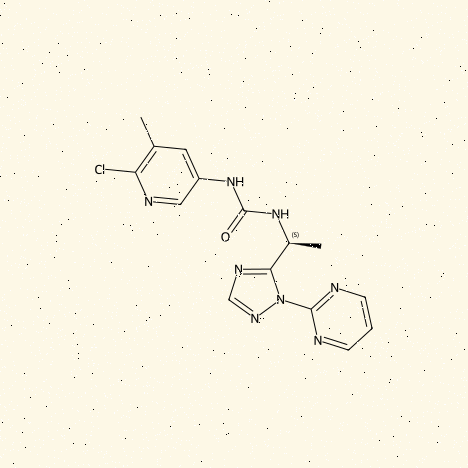 Cc1cc(NC(=O)N[C@@H](C)c2ncnn2-c2ncccn2)cnc1Cl